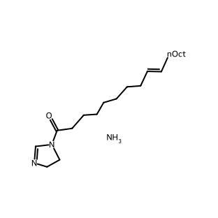 CCCCCCCCC=CCCCCCCCC(=O)N1C=NCC1.N